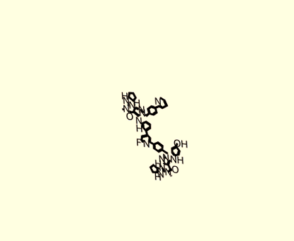 CN1C(=O)c2c(nn(Cc3ccc(-c4cc(-c5cccc(Nc6c7c(nn6Cc6ccc(-c8ccccn8)cc6)N6C(=N[C@@H]8CCC[C@@H]86)N(C)C7=O)c5)cc(F)n4)cc3)c2Nc2ccc(O)cc2)N2C1=N[C@@H]1CCC[C@@H]12